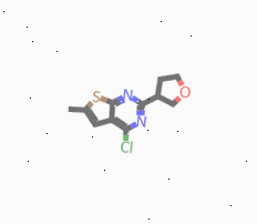 Cc1cc2c(Cl)nc(C3CCOC3)nc2s1